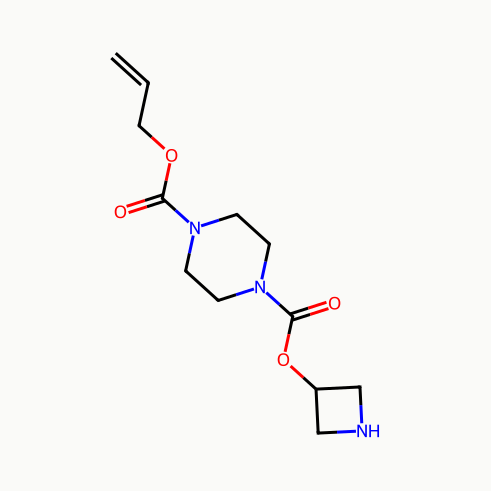 C=CCOC(=O)N1CCN(C(=O)OC2CNC2)CC1